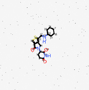 O=C1CCC(N2Cc3c(csc3CNC3CCCCC3)C2=O)C(=O)N1